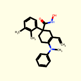 C=CC1=C(N(C)c2ccccc2)CCC(C(=O)NO)(c2cccc(C)c2C)C1